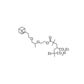 CCOC(=O)C(CC(C)(C)C(=O)OCCOC(C)COCCC1=CCC2CC1C2(C)C)CC(C)(CC)C(=O)O